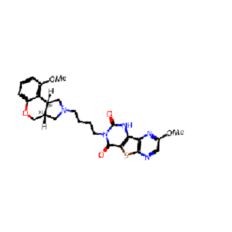 COc1cnc2sc3c(=O)n(CCCCN4C[C@@H]5COc6cccc(OC)c6[C@@H]5C4)c(=O)[nH]c3c2n1